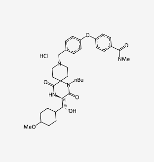 CCCCN1C(=O)[C@@H]([C@H](O)C2CCC(OC)CC2)NC(=O)C12CCN(Cc1ccc(Oc3ccc(C(=O)NC)cc3)cc1)CC2.Cl